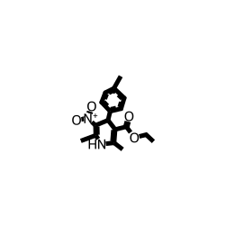 CCOC(=O)C1=C(C)NC(C)=C([N+](=O)[O-])C1c1ccc(C)cc1